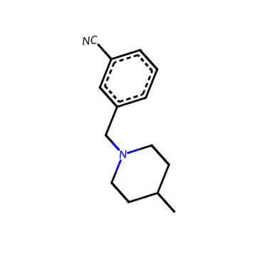 CC1CCN(Cc2cccc(C#N)c2)CC1